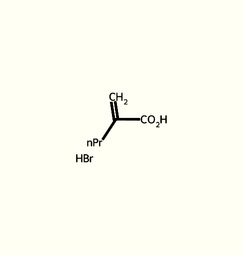 Br.C=C(CCC)C(=O)O